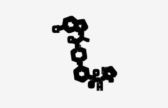 C[C@@H](C(=O)N1CCN(c2cccc(S(=O)(=O)Nc3nccs3)c2)CC1)n1ccc2ccc(Cl)cc21